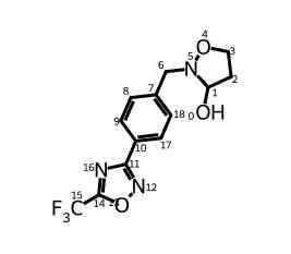 OC1CCON1Cc1ccc(-c2noc(C(F)(F)F)n2)cc1